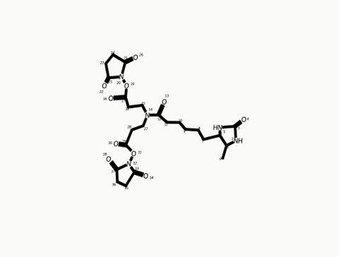 CC1NC(=O)NC1CCCCCC(=O)N(CCC(=O)ON1C(=O)CCC1=O)CCC(=O)ON1C(=O)CCC1=O